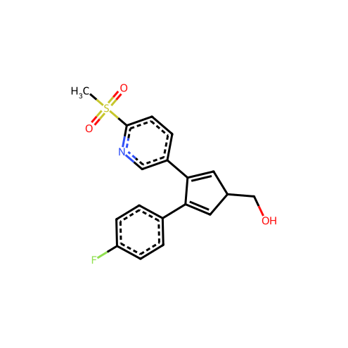 CS(=O)(=O)c1ccc(C2=CC(CO)C=C2c2ccc(F)cc2)cn1